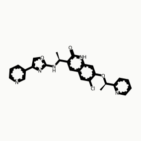 C[C@H](Nc1nc(-c2cccnc2)co1)c1cc2cc(Cl)c(O[C@H](C)c3ccccn3)cc2[nH]c1=O